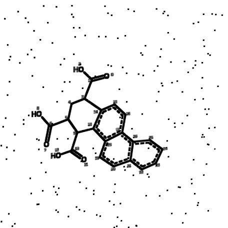 O=C(O)C1CC(C(=O)O)C(C(=O)O)c2c1ccc1c2ccc2ccccc21